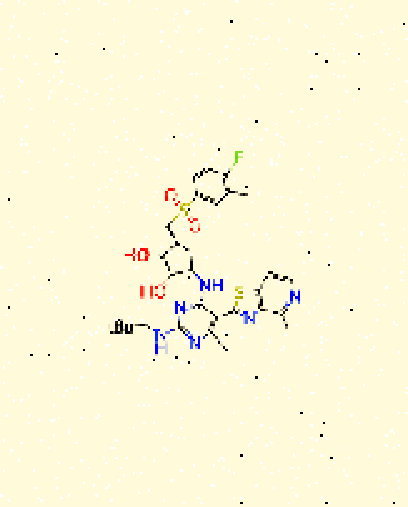 Cc1cc(S(=O)(=O)C[C@H]2C[C@@H](Nc3nc(NCC(C)(C)C)nc(C)c3-c3nc4c(C)nccc4s3)[C@H](O)[C@@H]2O)ccc1F